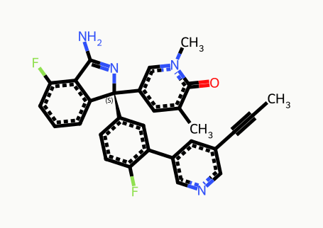 CC#Cc1cncc(-c2cc([C@]3(c4cc(C)c(=O)n(C)c4)N=C(N)c4c(F)cccc43)ccc2F)c1